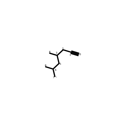 C#CCC(C)CC([CH2])C